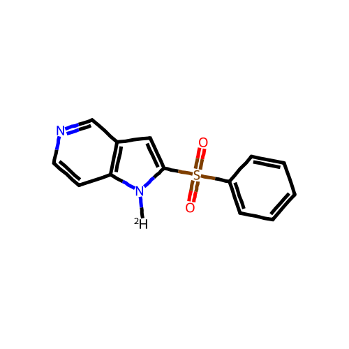 [2H]n1c(S(=O)(=O)c2ccccc2)cc2cnccc21